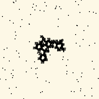 Cc1cc(F)ncc1Nc1cc2c(ncn2C)c(N=C(c2ccccc2)c2ccccc2)n1